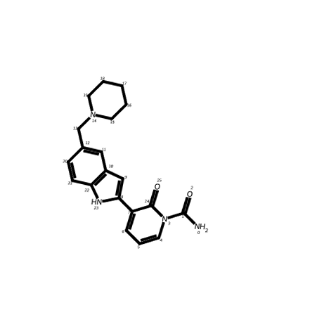 NC(=O)n1c[c]cc(-c2cc3cc(CN4CCCCC4)ccc3[nH]2)c1=O